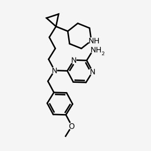 COc1ccc(CN(CCCC2(C3CCNCC3)CC2)c2ccnc(N)n2)cc1